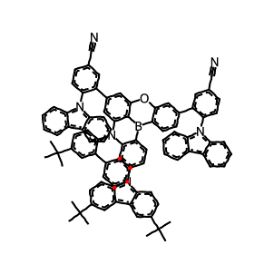 CC(C)(C)c1ccc(N2c3cc(-n4c5ccc(C(C)(C)C)cc5c5cc(C(C)(C)C)ccc54)ccc3B3c4ccc(-c5cc(C#N)ccc5-n5c6ccccc6c6ccccc65)cc4Oc4cc(-c5cc(C#N)ccc5-n5c6ccccc6c6ccccc65)cc2c43)c(-c2ccccc2)c1